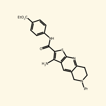 CCOC(=O)c1ccc(NC(=O)c2sc3nc4c(cc3c2N)CN(C(C)C)CC4)cc1